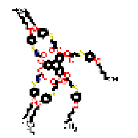 CCCCCCOc1ccc(S/C=C/C(=O)Oc2cc3c4cc(OC(=O)/C=C/Sc5ccc(OCCCCCC)cc5)c(OC(=O)/C=C/Sc5ccc(OCCCCCC)cc5)cc4c4cc(OC(=O)CCSc5ccc(OCCCCCC)cc5)c(OC(=O)/C=C/Sc5ccc(OCCCCCC)cc5)cc4c3cc2OC(=O)/C=C/Sc2ccc(OCCCCCC)cc2)cc1